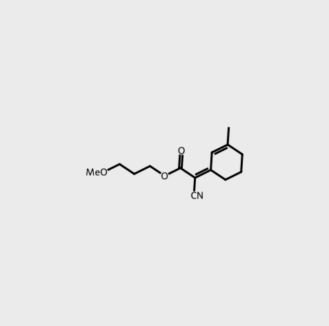 COCCCOC(=O)/C(C#N)=C1\C=C(C)CCC1